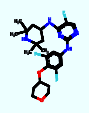 CC1(C)CC(Nc2nc(Nc3cc(F)c(OC4CCOCC4)c(F)c3)ncc2F)CC(C)(C)N1